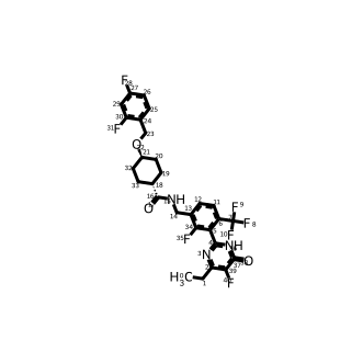 CCc1nc(-c2c(C(F)(F)F)ccc(CNC(=O)[C@H]3CC[C@H](OCc4ccc(F)cc4F)CC3)c2F)[nH]c(=O)c1F